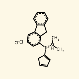 C[SiH](C)[Ti+2]([C]1=CC=CC1)[c]1cccc2c1Cc1ccccc1-2.[Cl-].[Cl-]